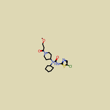 COCCC(=O)N1CCC(N(C(=O)Nc2ncc(Cl)s2)C2CCCCC2)CC1